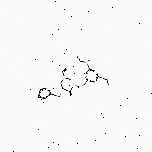 CCc1nc(NNC(=O)[C@@H](Cc2cccs2)CN(O)C=O)nc(N(C)CC)n1